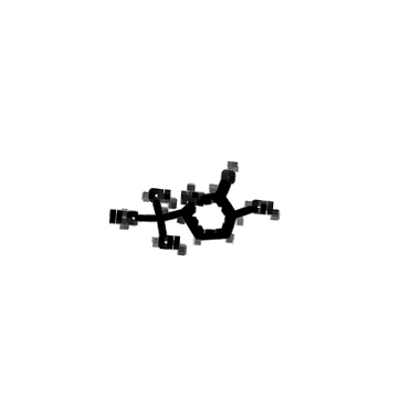 Cc1ccc(C(C)(C)C)[nH]c1=O